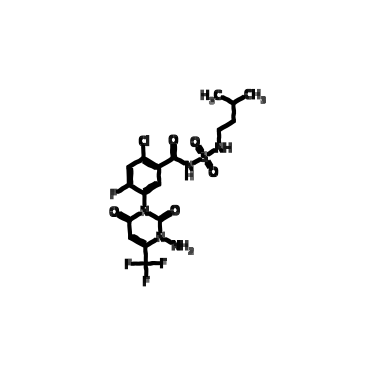 CC(C)CCNS(=O)(=O)NC(=O)c1cc(-n2c(=O)cc(C(F)(F)F)n(N)c2=O)c(F)cc1Cl